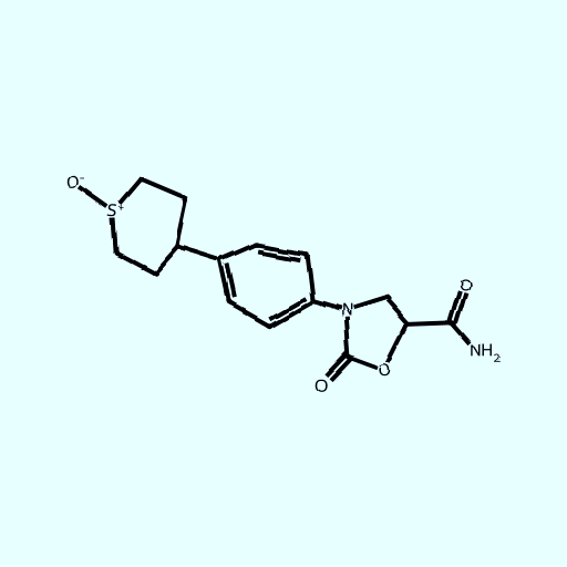 NC(=O)C1CN(c2ccc(C3CC[S+]([O-])CC3)cc2)C(=O)O1